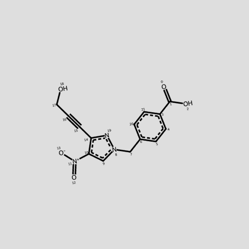 O=C(O)c1ccc(Cn2cc([N+](=O)[O-])c(C#CCO)n2)cc1